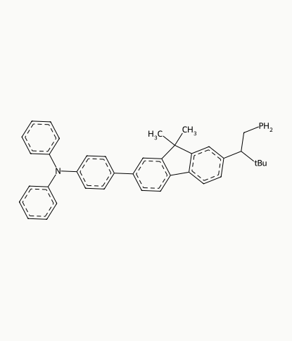 CC1(C)c2cc(-c3ccc(N(c4ccccc4)c4ccccc4)cc3)ccc2-c2ccc(C(CP)C(C)(C)C)cc21